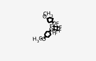 COc1ccc(OC2(F)C(F)(F)C(F)(F)C2(F)Oc2ccc(OC)cc2)cc1